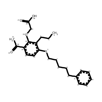 CCCc1c(SCCCCCc2ccccc2)ccc(C(C)=O)c1OCC(=O)O